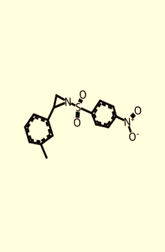 Cc1cccc(C2CN2S(=O)(=O)c2ccc([N+](=O)[O-])cc2)c1